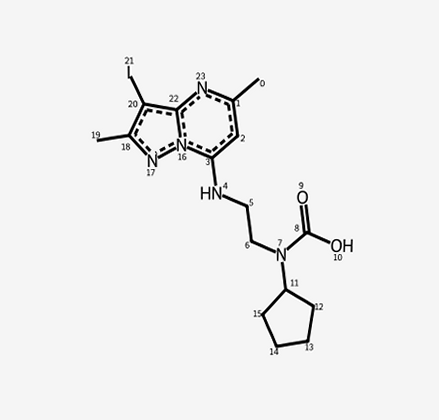 Cc1cc(NCCN(C(=O)O)C2CCCC2)n2nc(C)c(I)c2n1